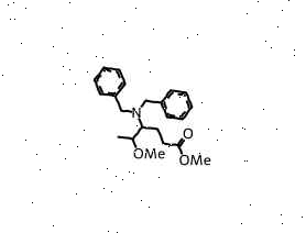 COC(=O)CCC(C(C)OC)N(Cc1ccccc1)Cc1ccccc1